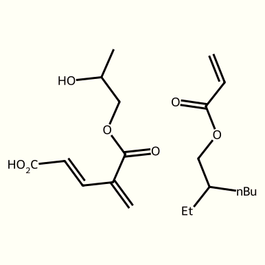 C=C(C=CC(=O)O)C(=O)OCC(C)O.C=CC(=O)OCC(CC)CCCC